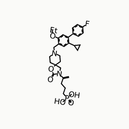 C=C(CCCP(=O)(O)O)N1CC2(CCN(Cc3cc(C4CC4)c(-c4ccc(F)cc4)cc3OCC)CC2)OC1=O